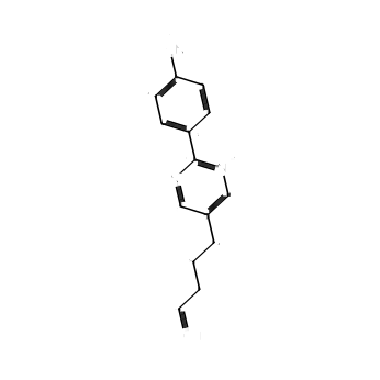 C=CCCCc1cnc(-c2ccc(C#N)cc2)nc1